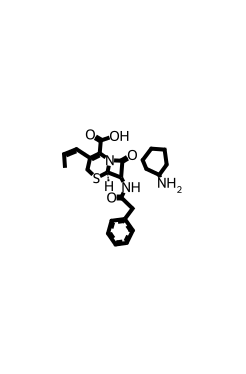 C/C=C\C1=C(C(=O)O)N2C(=O)C(NC(=O)Cc3ccccc3)[C@H]2SC1.NC1CCCCC1